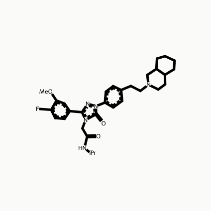 COc1cc(-c2nn(-c3ccc(CCN4CCC5CCCCC5C4)cc3)c(=O)n2CC(=O)NC(C)C)ccc1F